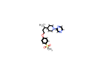 C[C@H](CCOc1ccc(S(C)(=O)=O)cc1)C1CCN(c2cnccn2)CC1